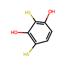 Oc1ccc(S)c(O)c1S